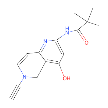 C#CN1C=Cc2nc(NC(=O)C(C)(C)C)cc(O)c2C1